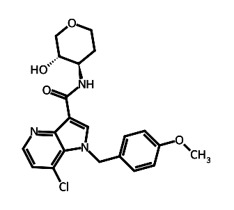 COc1ccc(Cn2cc(C(=O)N[C@@H]3CCOC[C@H]3O)c3nccc(Cl)c32)cc1